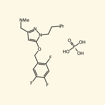 CNCc1cc(OCc2cc(F)c(F)cc2F)n(CCC(C)C)n1.O=P(O)(O)O